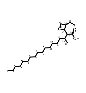 CCCCCCCCCCCCCCCC(C)C(C(=O)O)C1OCC1CC